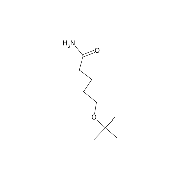 CC(C)(C)OCCCCC(N)=O